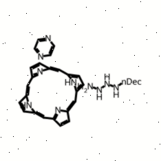 C1=Cc2cc3ccc(cc4nc(cc5ccc(cc1n2)[nH]5)C=C4)[nH]3.CCCCCCCCCCNNNN.c1cnccn1